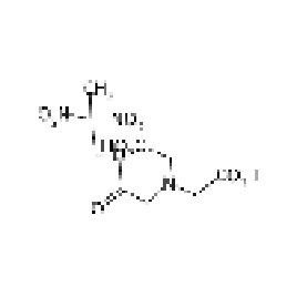 CC(COC(=O)CN(CC(=O)O)CC(=O)O)([N+](=O)[O-])[N+](=O)[O-]